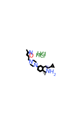 Cc1cc(CN2CCN(c3ccc([C@H](C)N)c(/C=C/C4CC4)c3)CC2)on1.Cl.Cl